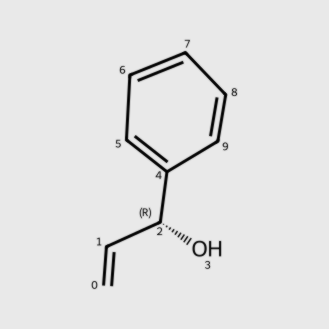 C=C[C@@H](O)c1ccccc1